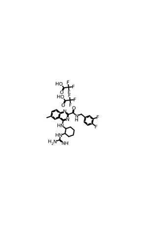 Cc1ccc2nc(C(=O)NCc3ccc(F)c(F)c3)nc(NC3CCCCC3NC(=N)N)c2c1.O=C(O)C(F)(F)F.O=C(O)C(F)(F)F